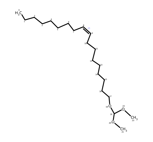 CCCCCCCC/C=C\CCCCCCCCOC(OC)OC